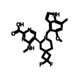 CNc1nc(C(=O)O)ncc1[C@@H]1CC2(CCN1Cc1c(OC)cc(C)c3[nH]ccc13)CC(F)(F)C2